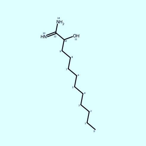 CCCCCCCCCCC(O)C(=N)N